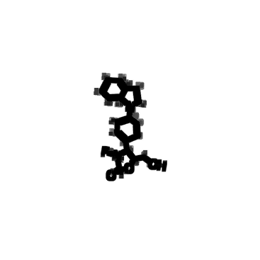 O=C1OC(CO)C(c2ccc(-n3ccc4ccccc43)cc2)N1F